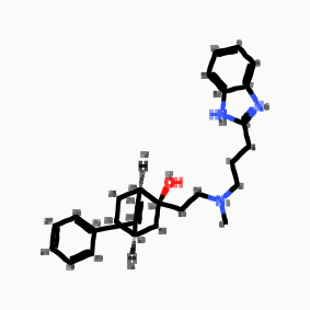 CN(CCCc1nc2ccccc2[nH]1)CC[C@]1(O)C[C@H]2CC[C@@H]1C=C2c1ccccc1